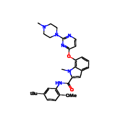 COc1ccc(C(C)(C)C)cc1NC(=O)c1cc2cccc(Oc3ccnc(N4CCN(C)CC4)n3)c2n1C